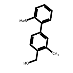 CSc1ccccc1-c1ccc(CO)c(C)c1